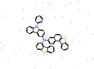 c1ccc(-n2c3ccccc3c3cc(N(c4ccc5c(ccc6sc7ccccc7c65)c4)c4cccc5sc6ccccc6c45)ccc32)cc1